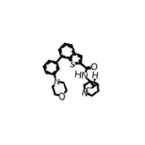 O=C(N[C@H]1CN2CCC1CC2)c1cc2cccc(-c3cccc(N4CCOCC4)c3)c2s1